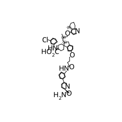 C[C@@H](COc1ccnc2c1[C@H](C)CCC2)C[C@H]1Cc2ccc(OCCCC(=O)NCc3cccc(-c4ccc(C(N)=O)nc4)c3)cc2C12CCC(Nc1cccc(Cl)c1)(C(=O)O)CC2